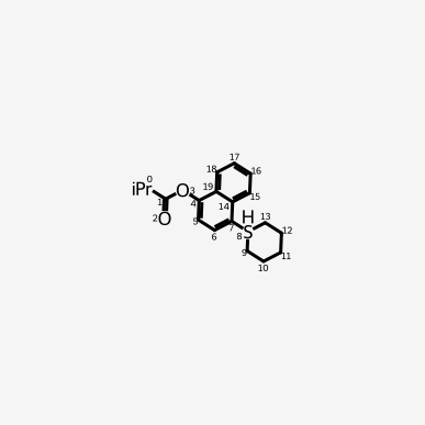 CC(C)C(=O)Oc1ccc([SH]2CCCCC2)c2ccccc12